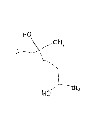 CC(C)(O)CCC(O)C(C)(C)C